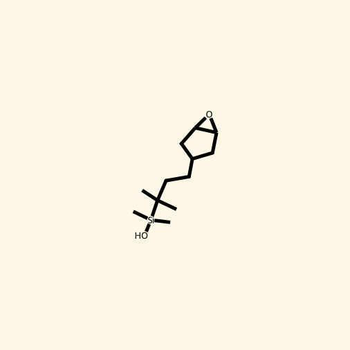 CC(C)(CCC1CC2OC2C1)[Si](C)(C)O